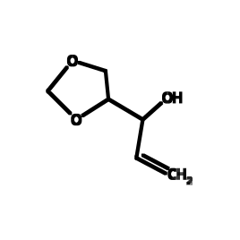 C=CC(O)C1COCO1